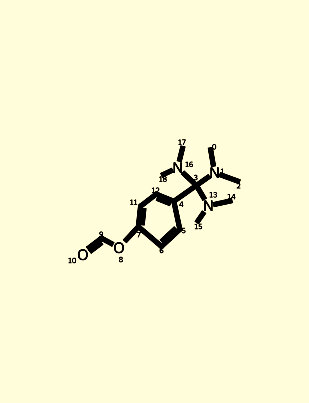 CN(C)C(c1ccc(OC=O)cc1)(N(C)C)N(C)C